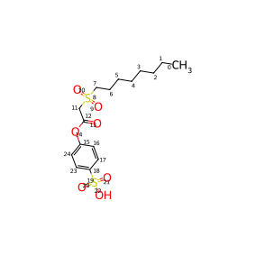 CCCCCCCCS(=O)(=O)CC(=O)Oc1ccc(S(=O)(=O)O)cc1